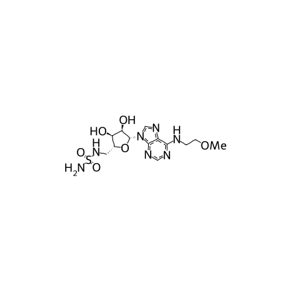 COCCNc1ncnc2c1ncn2[C@@H]1O[C@H](CNS(N)(=O)=O)[C@@H](O)[C@H]1O